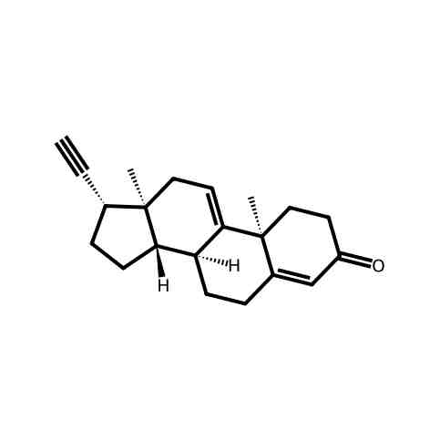 C#C[C@H]1CC[C@H]2[C@@H]3CCC4=CC(=O)CC[C@]4(C)C3=CC[C@]12C